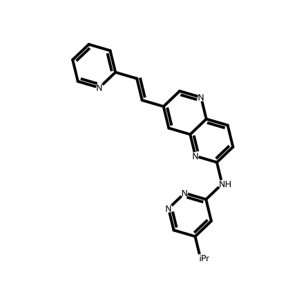 CC(C)c1cnnc(Nc2ccc3ncc(C=Cc4ccccn4)cc3n2)c1